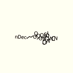 CCCCCCCCCCCCCCOC(=O)OC(C)OC(O)N1c2ccccc2N=C(N2CCN(C)CC2)c2cc(C)sc21